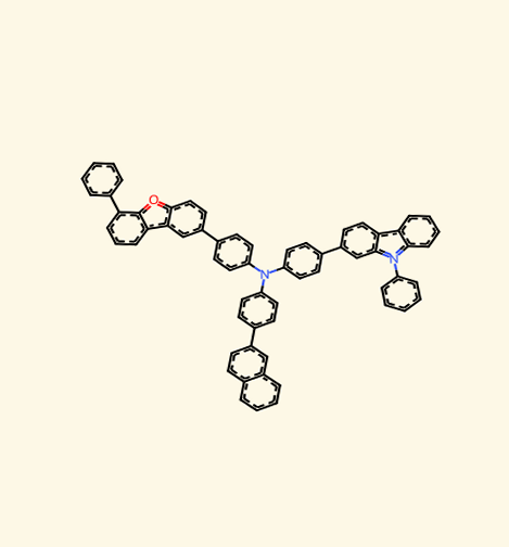 c1ccc(-c2cccc3c2oc2ccc(-c4ccc(N(c5ccc(-c6ccc7ccccc7c6)cc5)c5ccc(-c6ccc7c8ccccc8n(-c8ccccc8)c7c6)cc5)cc4)cc23)cc1